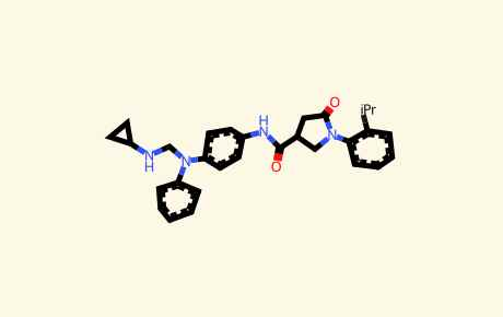 CC(C)c1ccccc1N1CC(C(=O)Nc2ccc(N(CNC3CC3)c3ccccc3)cc2)CC1=O